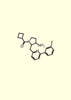 NC1CCN(C(=O)C2CCC2)C1Cc1cccc(-c2cccc(F)c2)n1